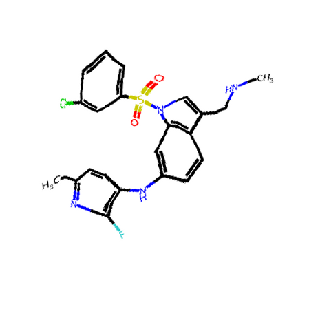 CNCc1cn(S(=O)(=O)c2cccc(Cl)c2)c2cc(Nc3ccc(C)nc3F)ccc12